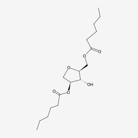 CCCCCC(=O)OC[C@@H]1OC[C@H](OC(=O)CCCCC)[C@H]1O